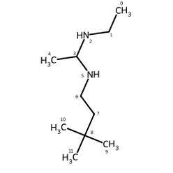 CCNC(C)NCCC(C)(C)C